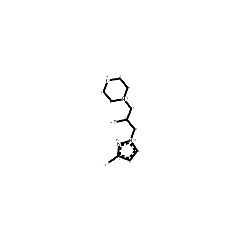 FC(CN1CCOCC1)Cn1ccc(I)n1